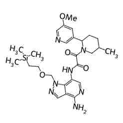 COc1cncc(C2CCC(C)CN2C(=O)C(=O)Nc2cnc(N)c3cnn(COCC[Si](C)(C)C)c23)c1